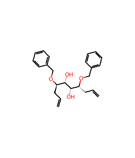 C=CC[C@@H](OCc1ccccc1)[C@H](O)[C@@H](O)[C@@H](CC=C)OCc1ccccc1